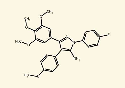 COc1cc(-c2nn(-c3ccc(F)cc3)c(N)c2-c2ccc(SC)cc2)cc(OC)c1OC